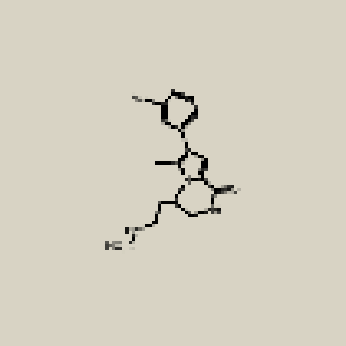 CC(=O)c1cccc(-c2cc3n(c2I)C(CCNC(=O)O)CNC3=O)c1